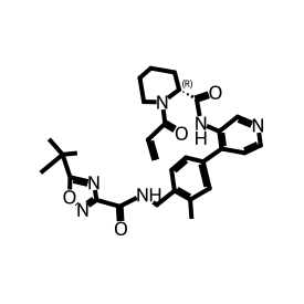 C=CC(=O)N1CCCC[C@@H]1C(=O)Nc1cnccc1-c1ccc(CNC(=O)c2noc(C(C)(C)C)n2)c(C)c1